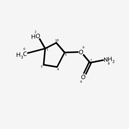 CC1(O)CCC(OC(N)=O)C1